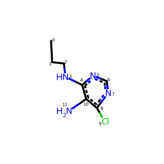 CCCNc1ncnc(Cl)c1N